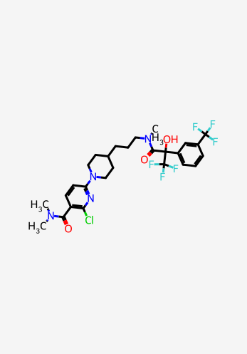 CN(C)C(=O)c1ccc(N2CCC(CCCN(C)C(=O)C(O)(c3cccc(C(F)(F)F)c3)C(F)(F)F)CC2)nc1Cl